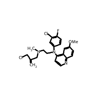 C=C(CCl)CN(C)CCN(c1ccc(F)c(Cl)c1)c1ccnc2ccc(OC)cc12